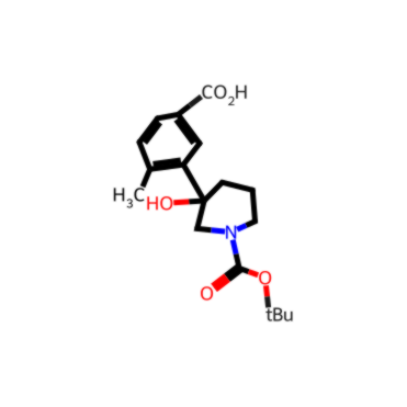 Cc1ccc(C(=O)O)cc1C1(O)CCCN(C(=O)OC(C)(C)C)C1